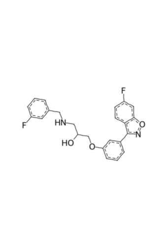 OC(CNCc1cccc(F)c1)COc1cccc(-c2noc3cc(F)ccc23)c1